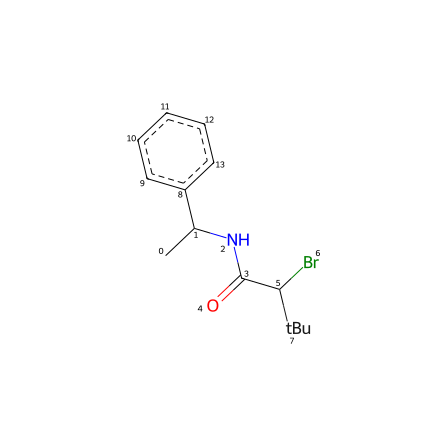 CC(NC(=O)C(Br)C(C)(C)C)c1ccccc1